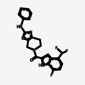 O=C(c1cc2c(C(F)F)ccc(F)c2[nH]1)N1CCc2nc(Nc3ccccc3)sc2C1